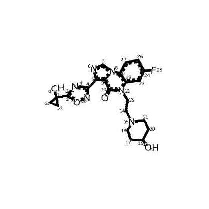 CC1(c2nc(-c3ncn4c3c(=O)n(CCN3CCC(O)CC3)c3cc(F)ccc34)no2)CC1